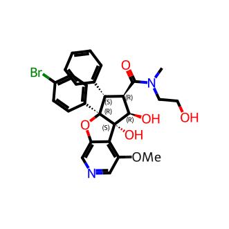 COc1cncc2c1[C@]1(O)[C@H](O)[C@H](C(=O)N(C)CCO)[C@@H](c3ccccc3)[C@]1(c1ccc(Br)cc1)O2